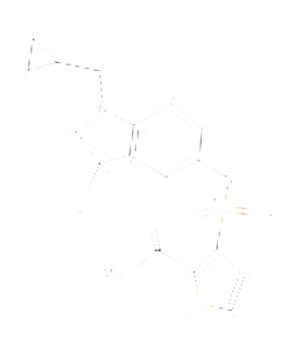 COC(=O)c1sccc1S(=O)(=O)Nc1ccc2c(c1)c(Cl)nn2CC1CC1